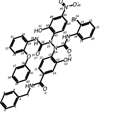 O=C(NCc1ccccc1)c1ccc(N(C(=O)Nc2ccccc2Br)N(C(=O)Nc2ccccc2Oc2ccccc2)c2ccc([N+](=O)[O-])cc2O)c(O)c1